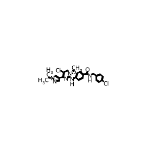 COc1cc(C(=O)NCc2ccc(Cl)cc2)ccc1Nc1ncc(Cl)c(-c2cnn(C(C)C)c2)n1